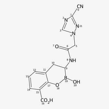 N#Cc1ncn(CC(=O)NC2Cc3cccc(C(=O)O)c3OB2O)n1